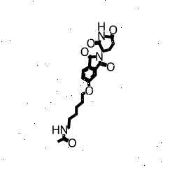 CC(=O)NCCCCCCOc1ccc2c(c1)C(=O)N(C1CCC(=O)NC1=O)C2=O